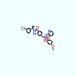 CCOc1ccc(S(=O)(=O)N(Cc2ccc(C(=O)NC3(c4cccc(Cl)c4)CC3)cc2)Cc2ccccn2)cc1